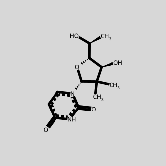 C[C@H](O)[C@H]1O[C@@H](n2ccc(=O)[nH]c2=O)C(C)(C)[C@@H]1O